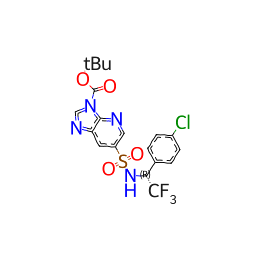 CC(C)(C)OC(=O)n1cnc2cc(S(=O)(=O)N[C@H](c3ccc(Cl)cc3)C(F)(F)F)cnc21